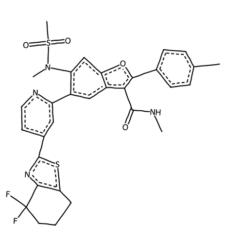 CNC(=O)c1c(-c2ccc(C)cc2)oc2cc(N(C)S(C)(=O)=O)c(-c3cc(-c4nc5c(s4)CCCC5(F)F)ccn3)cc12